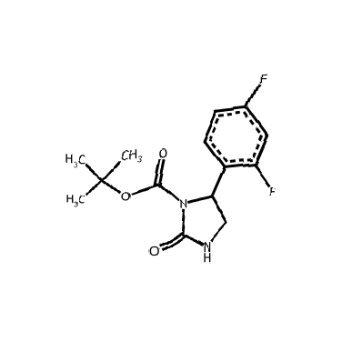 CC(C)(C)OC(=O)N1C(=O)NCC1c1ccc(F)cc1F